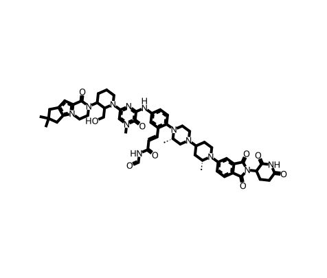 C[C@@H]1CC(N2CCN(c3ccc(Nc4nc(N5CCCC(N6CCn7c(cc8c7CC(C)(C)C8)C6=O)C5CO)cn(C)c4=O)cc3C=CC(=O)NC=O)[C@@H](C)C2)CCN1c1ccc2c(c1)C(=O)N(C1CCC(=O)NC1=O)C2=O